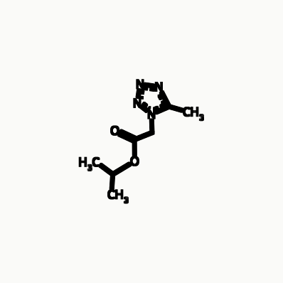 Cc1nnnn1CC(=O)OC(C)C